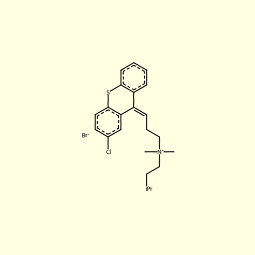 CC(C)CC[N+](C)(C)CC/C=C1/c2ccccc2Sc2ccc(Cl)cc21.[Br-]